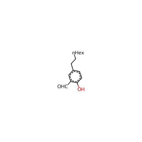 CCCCCCCCc1ccc(O)c(C=O)c1